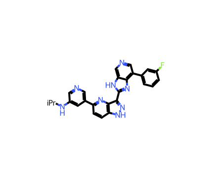 CC(C)Nc1cncc(-c2ccc3[nH]nc(-c4nc5c(-c6cccc(F)c6)cncc5[nH]4)c3n2)c1